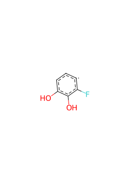 Oc1cc[c]c(F)c1O